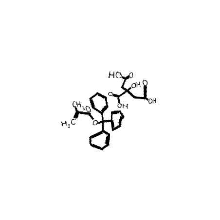 C=C(C)C(=O)OC(c1ccccc1)(c1ccccc1)c1ccccc1.O=C(O)CC(O)(CC(=O)O)C(=O)O